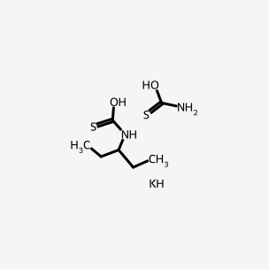 CCC(CC)NC(O)=S.NC(O)=S.[KH]